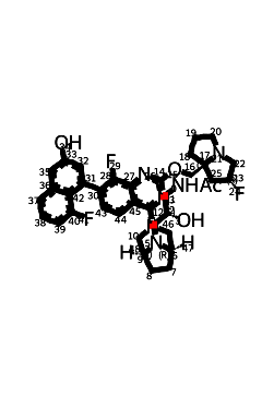 CC(=O)NC[C@H](O)CN1[C@@H]2CC[C@H]1CN(c1nc(OC[C@@]34CCCN3C[C@H](F)C4)nc3c(F)c(-c4cc(O)cc5cccc(F)c45)ccc13)C2